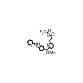 COC(c1ccc(CNc2ccccn2)cc1)c1cccc(CCC(=O)OC(=O)C(F)(F)F)n1